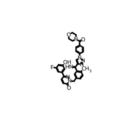 Cc1ccc(Cn2nc(-c3cc(O)cc(F)c3)ccc2=O)cc1C(=N)c1cn(-c2ccc(C(=O)N3CCOCC3)cc2)nn1